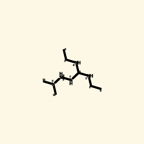 CCNC(NCC)N[SiH2]N(C)C